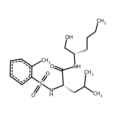 CCCC[C@@H](CO)NC(=O)[C@H](CC(C)C)NS(=O)(=O)c1ccccc1C